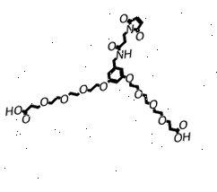 O=C(O)CCOCCOCCOCCOc1cc(CNC(=O)CCN2C(=O)C=CC2=O)cc(OCCOCCOCCOCCC(=O)O)c1